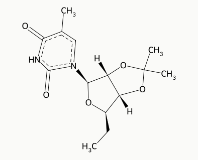 CC[C@H]1O[C@@H](n2cc(C)c(=O)[nH]c2=O)[C@@H]2OC(C)(C)O[C@@H]21